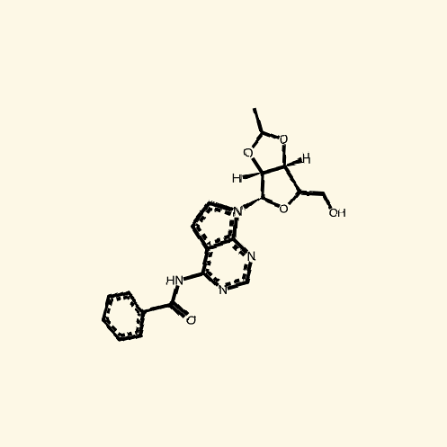 CC1O[C@@H]2[C@H](O1)C(CO)O[C@H]2n1ccc2c(NC(=O)c3ccccc3)ncnc21